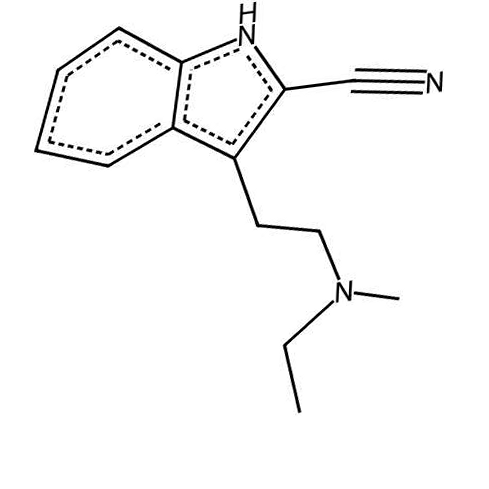 CCN(C)CCc1c(C#N)[nH]c2ccccc12